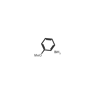 COc1c[c]ccc1.[BiH3]